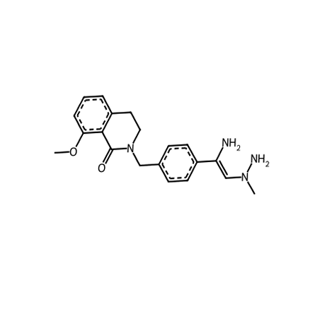 COc1cccc2c1C(=O)N(Cc1ccc(/C(N)=C/N(C)N)cc1)CC2